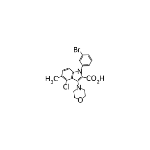 Cc1ccc2c(c1Cl)c(N1CCOCC1)c(C(=O)O)n2-c1cccc(Br)c1